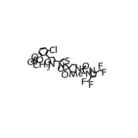 COC(=O)C1(c2nc(C3=NOC(c4c(Cl)cccc4OS(C)(=O)=O)C3)cs2)CCN(C(=O)Cn2nc(C(F)F)cc2C(F)F)CC1